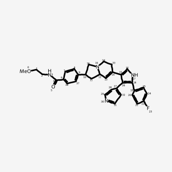 COCCNC(=O)c1ccc(C2CC3C=C(c4c[nH]c(-c5ccc(F)cc5)c4-c4ccncc4)CCN3C2)cc1